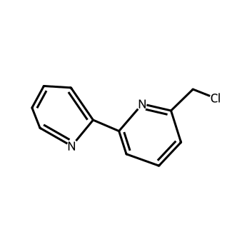 ClCc1cccc(-c2ccccn2)n1